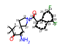 CC1(C)C[C@]2(C=C(N)C1=O)CCN(C(=O)c1cccc3c(F)cc(F)cc13)C2